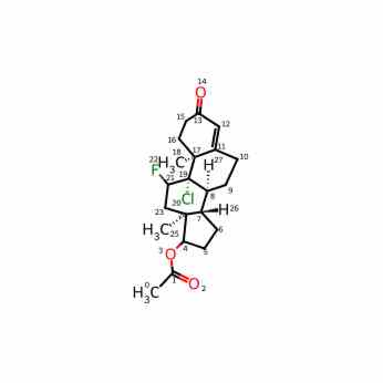 CC(=O)OC1CC[C@H]2[C@@H]3CCC4=CC(=O)CC[C@]4(C)[C@]3(Cl)C(F)C[C@]12C